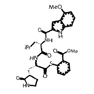 COC(=O)c1ccccc1SC(=O)[C@H](C[C@@H]1CCNC1=O)NC(=O)[C@H](CC(C)C)NC(=O)c1cc2c(OC)cccc2[nH]1